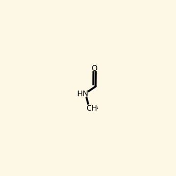 [CH]NC=O